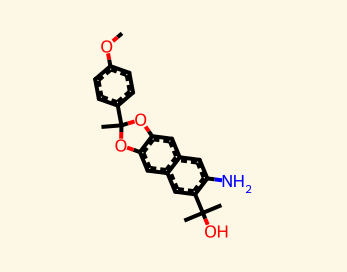 COc1ccc(C2(C)Oc3cc4cc(N)c(C(C)(C)O)cc4cc3O2)cc1